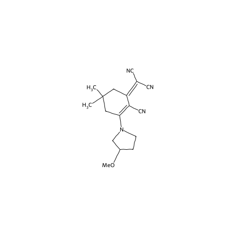 COC1CCN(C2=C(C#N)C(=C(C#N)C#N)CC(C)(C)C2)C1